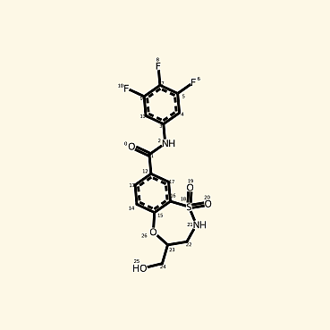 O=C(Nc1cc(F)c(F)c(F)c1)c1ccc2c(c1)S(=O)(=O)NCC(CO)O2